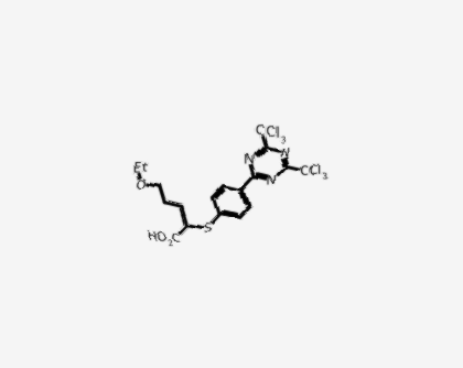 CCOCCCC(Sc1ccc(-c2nc(C(Cl)(Cl)Cl)nc(C(Cl)(Cl)Cl)n2)cc1)C(=O)O